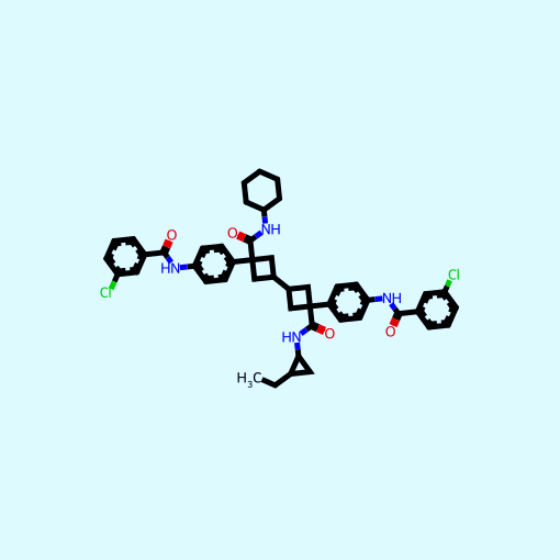 CCC1CC1NC(=O)C1(c2ccc(NC(=O)c3cccc(Cl)c3)cc2)CC(C2CC(C(=O)NC3CCCCC3)(c3ccc(NC(=O)c4cccc(Cl)c4)cc3)C2)C1